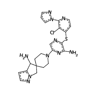 Nc1nc(N2CCC3(CC2)Cn2nccc2C3N)cnc1Sc1ccnc(-n2cccn2)c1Cl